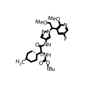 COCC(c1cc(F)cnc1OC)n1cc(NC(=O)[C@@H](NC(=O)OC(C)(C)C)[C@H]2CC[C@H](C)CC2)cn1